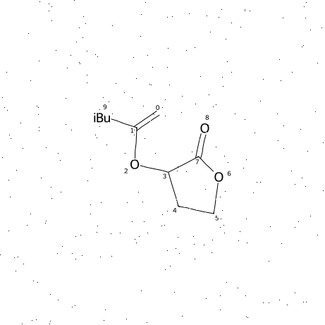 C=C(OC1CCOC1=O)C(C)CC